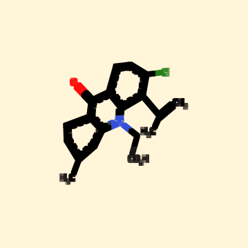 C=C(C)c1c(Cl)ccc2c(=O)c3ccc(C)cc3n(CC(=O)O)c12